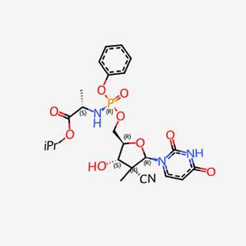 CC(C)OC(=O)[C@H](C)N[P@@](=O)(OC[C@H]1O[C@@H](n2ccc(=O)[nH]c2=O)[C@](C)(C#N)[C@@H]1O)Oc1ccccc1